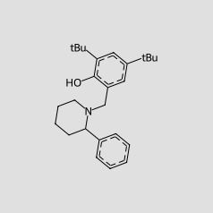 CC(C)(C)c1cc(CN2CCCCC2c2ccccc2)c(O)c(C(C)(C)C)c1